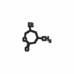 CCC1COC(=O)CC(C)C1